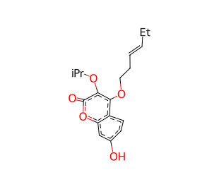 CCC=CCCOc1c(OC(C)C)c(=O)oc2cc(O)ccc12